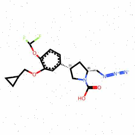 [N-]=[N+]=NC[C@H]1C[C@@H](c2ccc(OC(F)F)c(OCC3CC3)c2)CN1C(=O)O